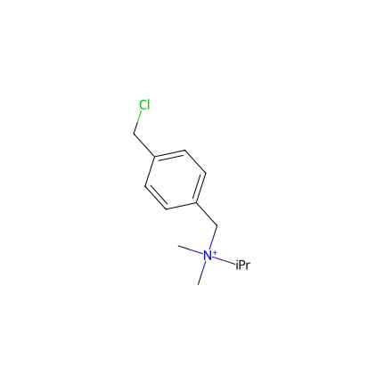 CC(C)[N+](C)(C)Cc1ccc(CCl)cc1